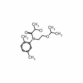 Cc1ccc(C)c(N(CCOC(C)C)C(=O)C(C)Cl)c1